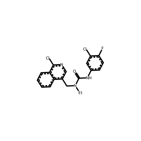 CCN(Cc1cnc(Cl)c2ccccc12)C(=O)Nc1ccc(F)c(Cl)c1